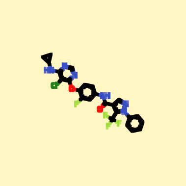 O=C(Nc1ccc(Oc2ncnc(NC3CC3)c2Cl)c(F)c1)c1cnn(-c2ccccc2)c1C(F)(F)F